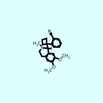 COc1cc2c(cc1OC)C(I)(C1(c3ccccc3C#N)CCC1)N(C)CC2